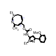 C=C1/C=C(COC(=O)Nc2cc(-c3ccccc3OC)nn2CC)\C=C/CN(CC)/C=N\1